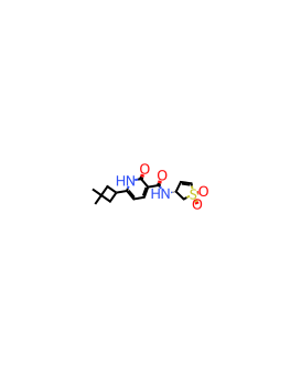 CC1(C)CC(c2ccc(C(=O)N[C@@H]3C=CS(=O)(=O)C3)c(=O)[nH]2)C1